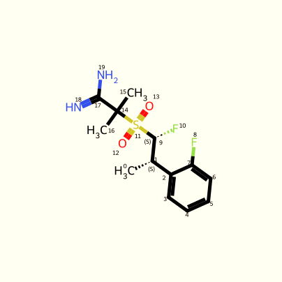 C[C@@H](c1ccccc1F)[C@@H](F)S(=O)(=O)C(C)(C)C(=N)N